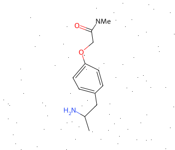 CNC(=O)COc1ccc(CC(C)N)cc1